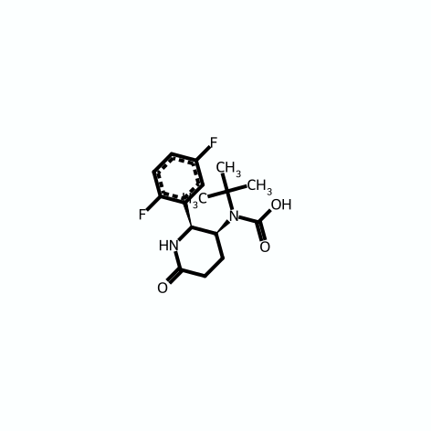 CC(C)(C)N(C(=O)O)[C@H]1CCC(=O)N[C@H]1c1cc(F)ccc1F